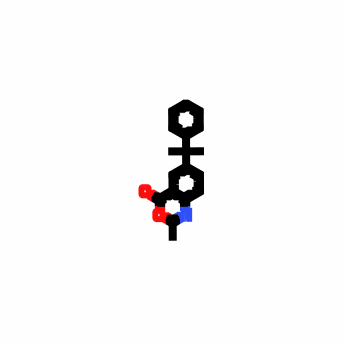 Cc1nc2ccc(C(C)(C)c3ccccc3)cc2c(=O)o1